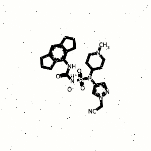 CN1CCC(N(c2cnn(CC#N)c2)S(=O)(=O)[NH+]([O-])C(=O)Nc2c3c(cc4c2CCC4)CCC3)CC1